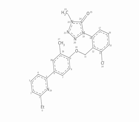 CCc1cccc(-c2ccc(OCc3c(Cl)cccc3-n3nnn(C)c3=O)c(C)c2)n1